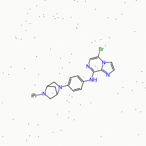 CC(C)N1CC2CC1CN2c1ccc(Nc2ncc(Br)n3ccnc23)cc1